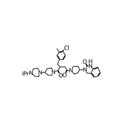 Cc1cc(CC(CC(=O)N2CCC(N3Cc4ccccc4NC3=O)CC2)C(=O)N2CCC(N3CCN(C(C)C)CC3)CC2)ccc1Cl